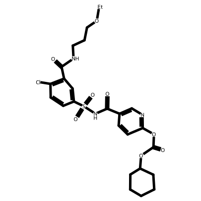 CCOCCCNC(=O)c1cc(S(=O)(=O)NC(=O)c2ccc(OC(=O)OC3CCCCC3)nc2)ccc1Cl